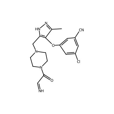 Cc1n[nH]c(CN2CCN(C(=O)C=N)CC2)c1Oc1cc(Cl)cc(C#N)c1